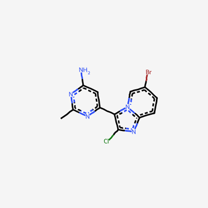 Cc1nc(N)cc(-c2c(Cl)nc3ccc(Br)cn23)n1